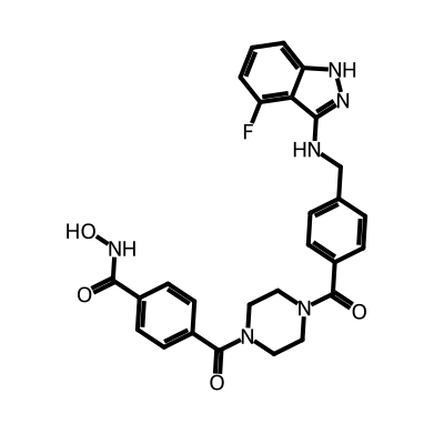 O=C(NO)c1ccc(C(=O)N2CCN(C(=O)c3ccc(CNc4n[nH]c5cccc(F)c45)cc3)CC2)cc1